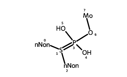 CCCCCCCCCS(CCCCCCCCC)=P(O)(O)[O][Mo]